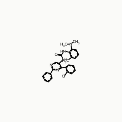 Cc1cccc(N(C)C)c1NC(=O)Nc1cnc(-c2ccccc2)nc1-c1ccccc1Cl